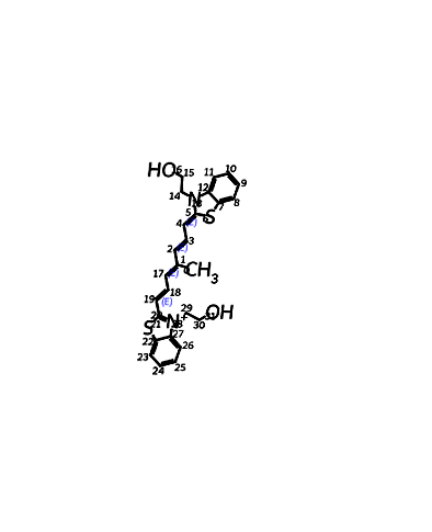 CC(/C=C/C=C1\Sc2ccccc2N1CCO)=C\C=C\c1sc2ccccc2[n+]1CCO